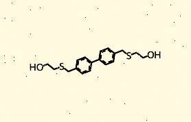 OCCSCc1ccc(-c2ccc(CSCCO)cc2)cc1